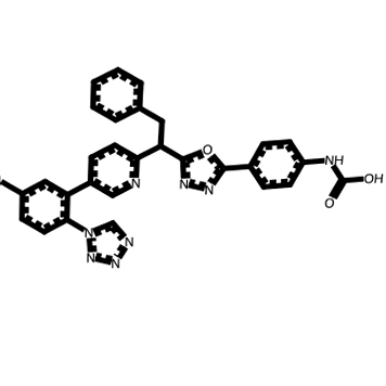 O=C(O)Nc1ccc(-c2nnc(C(Cc3ccccc3)c3ccc(-c4cc(Cl)ccc4-n4cnnn4)cn3)o2)cc1